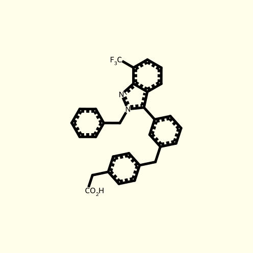 O=C(O)Cc1ccc(Cc2cccc(-c3c4cccc(C(F)(F)F)c4nn3Cc3ccccc3)c2)cc1